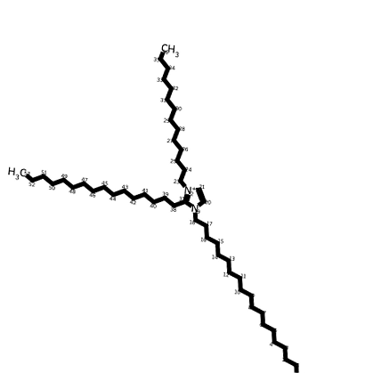 CCCCCCCCCCCCCCCCCCCn1cc[n+](CCCCCCCCCCCCCC)c1CCCCCCCCCCCCCCCC